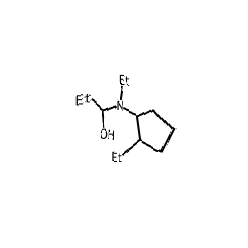 CCC1CCCC1N(CC)C(O)CC